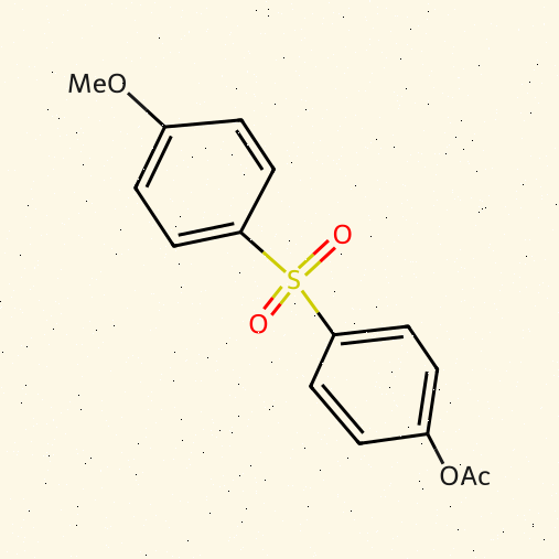 COc1ccc(S(=O)(=O)c2ccc(OC(C)=O)cc2)cc1